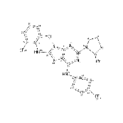 CC(C)C1CCCN1c1nc(Nc2ccc(C(F)(F)F)cc2)c2nc(Nc3c(Cl)cccc3Cl)sc2n1